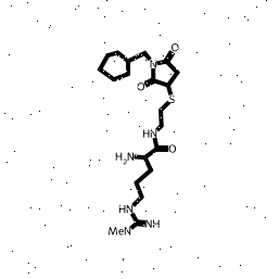 CNC(=N)NCCCC(N)C(=O)NCCSC1CC(=O)N(CC2CCCCC2)C1=O